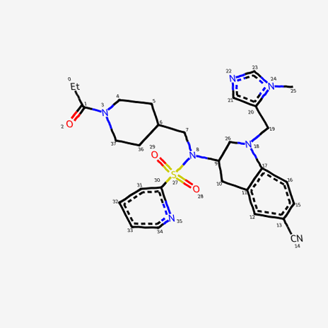 CCC(=O)N1CCC(CN(C2Cc3cc(C#N)ccc3N(Cc3cncn3C)C2)S(=O)(=O)c2ccccn2)CC1